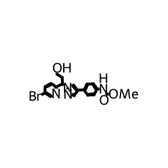 COC(=O)Nc1ccc(-c2cnn(C(CCO)c3ccc(Br)cn3)c2)cc1